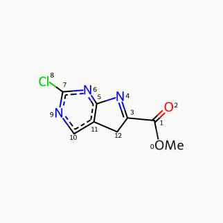 COC(=O)C1=Nc2nc(Cl)ncc2C1